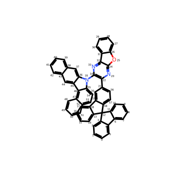 c1ccc2c(c1)-c1ccccc1C21c2ccccc2-c2cc(-c3nc4oc5ccccc5c4nc3-n3c4cc5ccccc5cc4c4c5ccccc5ccc43)ccc21